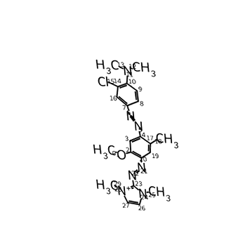 COc1cc(/N=N/c2ccc(N(C)C)c(Cl)c2)c(C)cc1/N=N/c1n(C)cc[n+]1C